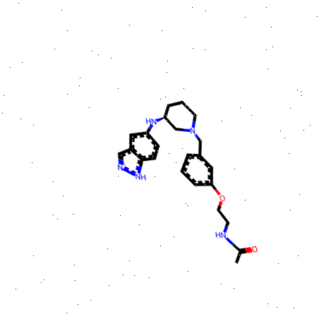 CC(=O)NCCOc1cccc(CN2CCC[C@H](Nc3ccc4[nH]ncc4c3)C2)c1